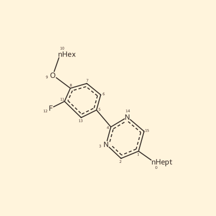 CCCCCCCc1cnc(-c2ccc(OCCCCCC)c(F)c2)nc1